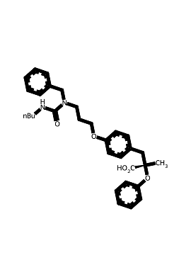 CCCCNC(=O)N(CCCOc1ccc(C[C@](C)(Oc2ccccc2)C(=O)O)cc1)Cc1ccccc1